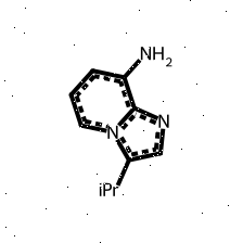 CC(C)c1cnc2c(N)cccn12